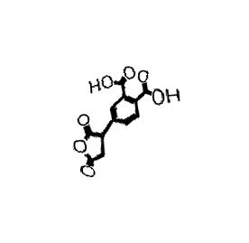 O=C1CC(c2ccc(C(=O)O)c(C(=O)O)c2)C(=O)O1